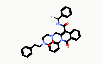 CC[C@H](NC(=O)c1c(CN2CCN(CCc3ccccc3)CC2)n(-c2ccccc2)c(=O)c2ccccc12)c1ccccc1